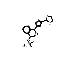 CC(C)(C)[Si](C)(C)OC1COC(c2csc(C3OCCO3)c2)c2ccccc21